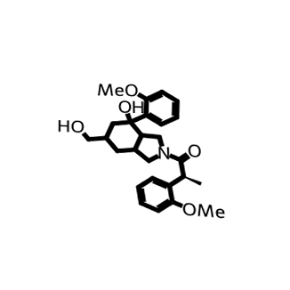 COc1ccccc1[C@H](C)C(=O)N1CC2CC(CO)CC(O)(c3ccccc3OC)C2C1